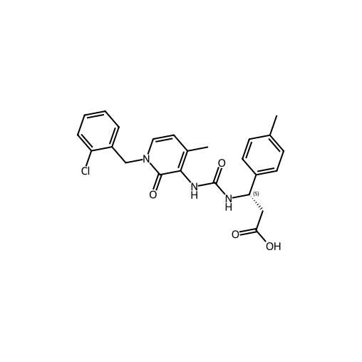 Cc1ccc([C@H](CC(=O)O)NC(=O)Nc2c(C)ccn(Cc3ccccc3Cl)c2=O)cc1